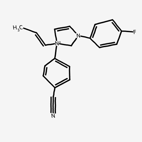 CC=C[N+]1(c2ccc(C#N)cc2)C=CN(c2ccc(F)cc2)C1